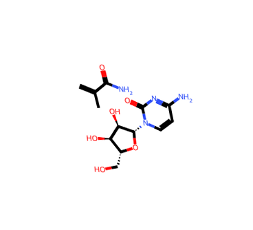 C=C(C)C(N)=O.Nc1ccn([C@@H]2O[C@H](CO)[C@@H](O)[C@H]2O)c(=O)n1